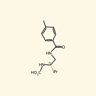 Cc1ccc(C(=O)NC[C@@H](NC(=O)O)C(C)C)cc1